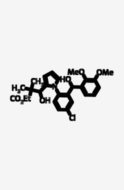 CCOC(=O)C(C)(C)C(O)c1cccn1-c1ccc(Cl)cc1C(O)c1cccc(OC)c1OC